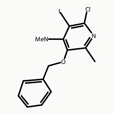 CNc1c(I)c(Cl)nc(C)c1OCc1ccccc1